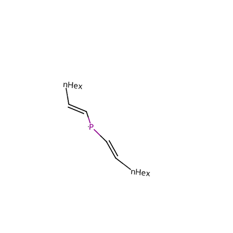 CCCCCCC=C[P]C=CCCCCCC